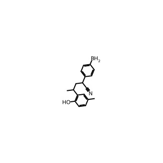 Bc1ccc(C(C#N)CC(C)c2cc(C)ccc2O)cc1